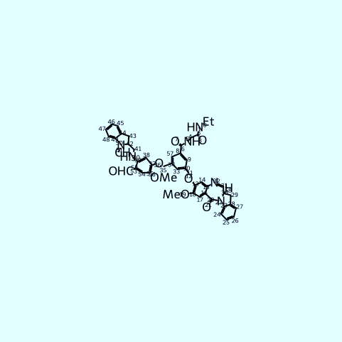 CCNC(=O)CNC(=O)c1cc(COc2cc3c(cc2OC)C(=O)N2c4ccccc4C[C@H]2C=N3)cc(COc2cc(NCC3Cc4ccccc4N3C)c(C=O)cc2OC)c1